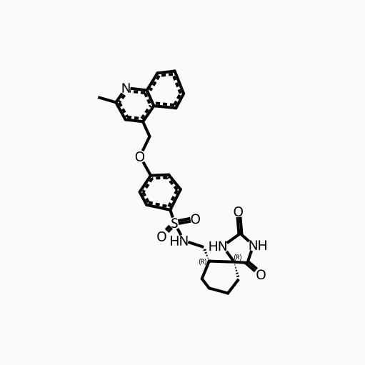 Cc1cc(COc2ccc(S(=O)(=O)NC[C@H]3CCCC[C@@]34NC(=O)NC4=O)cc2)c2ccccc2n1